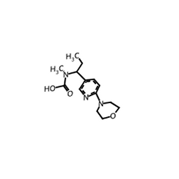 CCC(c1ccc(N2CCOCC2)nc1)N(C)C(=O)O